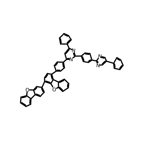 c1ccc(-c2cnc(-c3ccc(-c4nc(-c5ccccc5)cc(-c5ccc(-c6ccc(-c7ccc8c(c7)oc7ccccc78)c7oc8ccccc8c67)cc5)n4)cc3)nc2)cc1